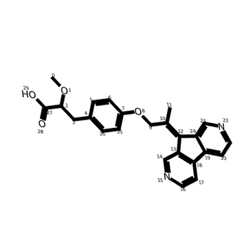 COC(Cc1ccc(OCC(C)=C2c3cnccc3-c3ccncc32)cc1)C(=O)O